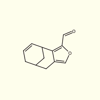 O=Cc1occ2c1C1C=CCC(C2)C1